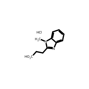 Cl.Cn1c(CCC(=O)O)nc2ccccc21